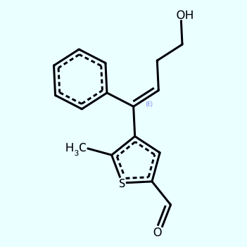 Cc1sc(C=O)cc1/C(=C/CCO)c1ccccc1